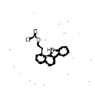 O=C(Cl)OCCc1cccc2ccc3c4ccccc4[nH]c3c12